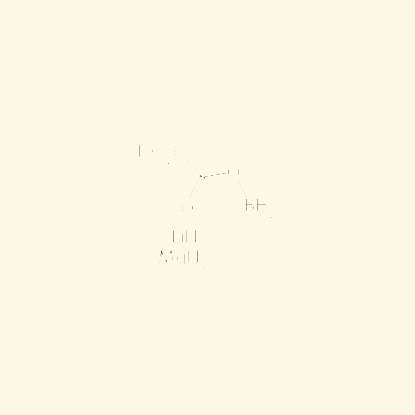 BOC(=O)C(=O)O.[LiH].[MgH2]